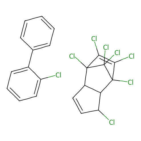 ClC1=C(Cl)C2(Cl)C3C(Cl)C=CC3C1(Cl)C2(Cl)Cl.Clc1ccccc1-c1ccccc1